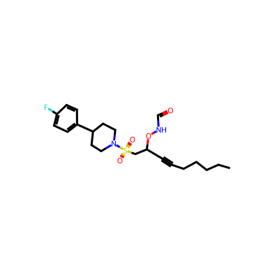 CCCCCC#CC(CS(=O)(=O)N1CCC(c2ccc(F)cc2)CC1)ONC=O